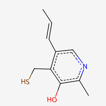 CC=Cc1cnc(C)c(O)c1CS